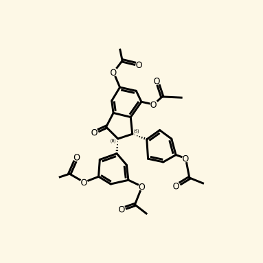 CC(=O)Oc1ccc([C@H]2c3c(OC(C)=O)cc(OC(C)=O)cc3C(=O)[C@H]2c2cc(OC(C)=O)cc(OC(C)=O)c2)cc1